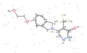 COCCOc1ccc2c(c1)CN(c1cn[nH]c(=O)c1C(F)(F)F)C2